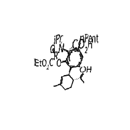 C=C(C)[C@@H]1CCC(C)=C[C@H]1c1c(O)cc(CCCCC)cc1OP(=O)(C(=O)OCC)N(C(C)C)[C@@H](C)C(=O)O